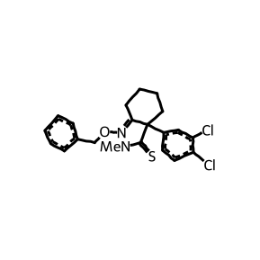 CNC(=S)C1(c2ccc(Cl)c(Cl)c2)CCCCC1=NOCc1ccccc1